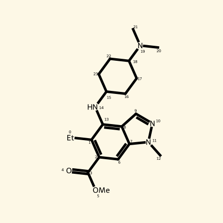 CCc1c(C(=O)OC)cc2c(cnn2C)c1NC1CCC(N(C)C)CC1